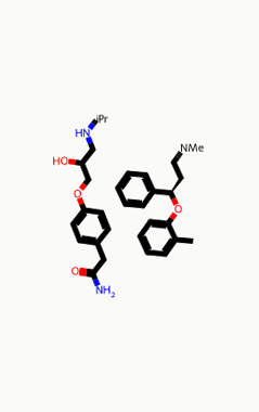 CC(C)NCC(O)COc1ccc(CC(N)=O)cc1.CNCC[C@@H](Oc1ccccc1C)c1ccccc1